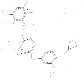 COc1cc(Nc2ncc(OCc3c(F)c(C)cc(OC)c3F)cn2)ccc1OC1COC1